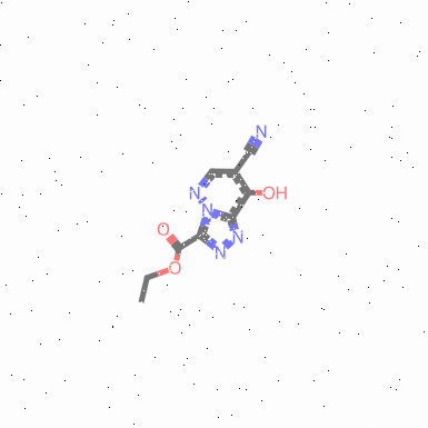 CCOC(=O)c1nnc2c(O)c(C#N)cnn12